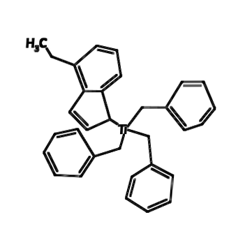 CCc1cccc2c1C=C[CH]2[Ti]([CH2]c1ccccc1)([CH2]c1ccccc1)[CH2]c1ccccc1